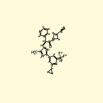 Cc1nc(-c2cc(C3CC3)nc(C(F)(F)F)c2)nn1C=C(C(=O)N1CC(C#N)C1)c1cncnc1